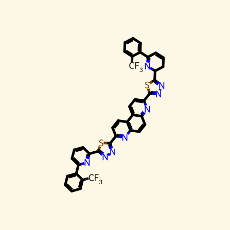 FC(F)(F)c1ccccc1C1=NC(c2nnc(-c3ccc4c(ccc5nc(-c6nnc(-c7cccc(-c8ccccc8C(F)(F)F)n7)s6)ccc54)n3)s2)CC=C1